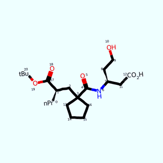 CCC[C@H](CC1(C(=O)N[C@@H](CCO)CC(=O)O)CCCC1)C(=O)OC(C)(C)C